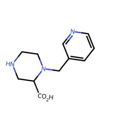 O=C(O)C1CNCCN1Cc1cccnc1